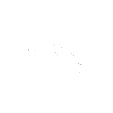 CSCCC1NC2(CCN(OC(=O)OC(C)(C)C)CC2)NC1=O